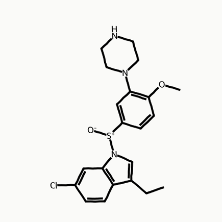 CCc1cn([S+]([O-])c2ccc(OC)c(N3CCNCC3)c2)c2cc(Cl)ccc12